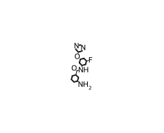 Nc1cccc(C(=O)Nc2cc(F)cc(Oc3cncnc3)c2)c1